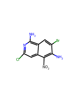 Nc1c(Br)cc2c(N)nc(Cl)cc2c1[N+](=O)[O-]